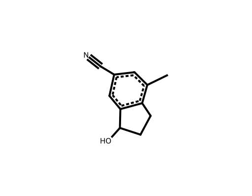 Cc1cc(C#N)cc2c1CCC2O